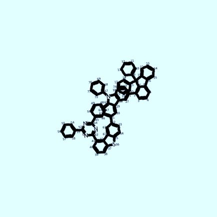 c1c(-c2cccc3c2C(C2=CC=CCC2)(c2ccccc2)c2ccccc2-3)cc2c3cc(-c4ccc5sc6cccc(-c7nc(-c8ccccc8)nc(-c8ccccc8)n7)c6c5c4)ccc3n(-c3ccccc3)c2c#1